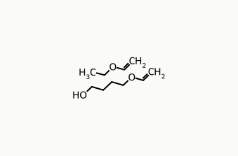 C=COCC.C=COCCCCO